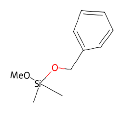 CO[Si](C)(C)OCc1ccccc1